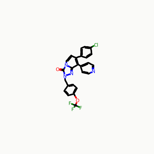 O=c1n(Cc2ccc(OC(F)(F)F)cc2)nc2c(-c3ccncc3)c(-c3ccc(Cl)cc3)ccn12